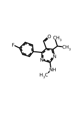 CNc1nc(-c2ccc(F)cc2)c(C=O)c(C(C)C)n1